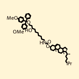 COc1ccc(C(OCCC(O)CCCCCCCNC(=O)O[C@@H]2CC[C@]3(C)C(=CCC4C3CC[C@]3(C)C4CC[C@H]3[C@@H](C)CCCC(C)C)C2)(c2ccccc2)c2ccc(OC)cc2)cc1